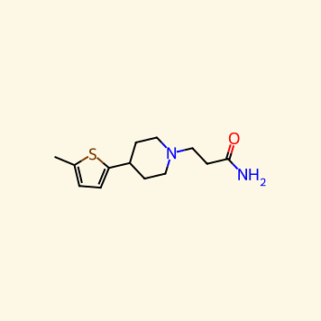 Cc1ccc(C2CCN(CCC(N)=O)CC2)s1